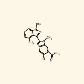 Cn1c(-c2nn(C(C)(C)C)c3ncnc(N)c23)cc2cc(Cl)c(C(N)=O)cc21